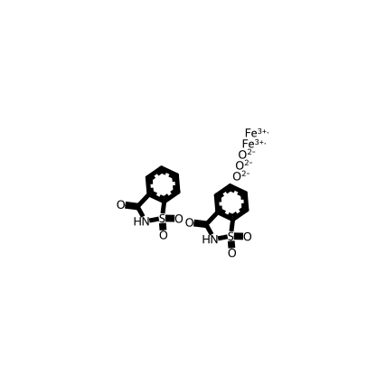 O=C1NS(=O)(=O)c2ccccc21.O=C1NS(=O)(=O)c2ccccc21.[Fe+3].[Fe+3].[O-2].[O-2].[O-2]